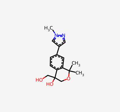 Cn1cc(-c2ccc3c(c2)C(C)(C)OCC3(O)CO)cn1